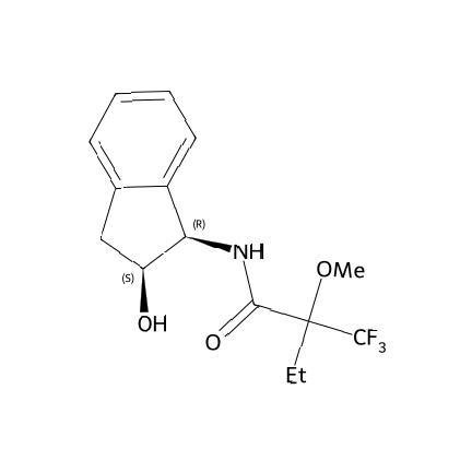 CCC(OC)(C(=O)N[C@@H]1c2ccccc2C[C@@H]1O)C(F)(F)F